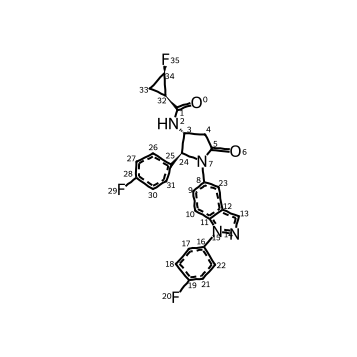 O=C(N[C@@H]1CC(=O)N(c2ccc3c(cnn3-c3ccc(F)cc3)c2)[C@H]1c1ccc(F)cc1)[C@H]1C[C@H]1F